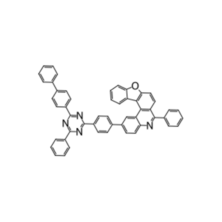 c1ccc(-c2ccc(-c3nc(-c4ccccc4)nc(-c4ccc(-c5ccc6nc(-c7ccccc7)c7ccc8oc9ccccc9c8c7c6c5)cc4)n3)cc2)cc1